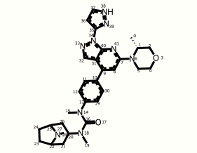 C[C@@H]1COCCN1c1cc(-c2ccc(N(C)C(=O)N(C)C3CC4CCC(C3)N4C)cc2)c2cnn(-c3cc[nH]n3)c2n1